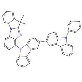 CC1(C)c2ccccc2-n2c1nc1c(-n3c4ccccc4c4cc(-c5ccc6c(c5)c5ccccc5n6-c5ccccc5)ccc43)cccc12